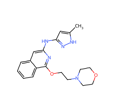 Cc1cc(Nc2cc3ccccc3c(OCCN3CCOCC3)n2)n[nH]1